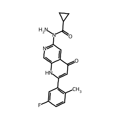 Cc1ccc(F)cc1-c1cc(=O)c2cc(N(N)C(=O)C3CC3)ncc2[nH]1